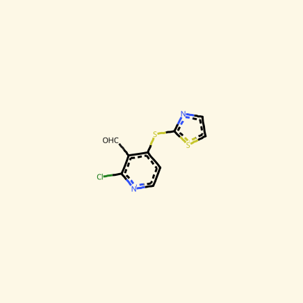 O=Cc1c(Sc2nccs2)ccnc1Cl